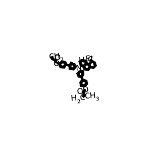 C=CC(=O)Oc1ccc(-c2ccc(N(c3ccc(-c4ccc(OC(=O)C(=C)C)cc4)cc3)c3ccc(CC)c4c5c(ccc34)CC=CC5C)cc2)cc1